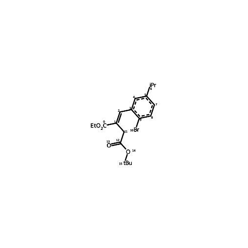 CCOC(=O)/C(=C/c1cc(C(C)C)ccc1Br)CC(=O)OC(C)(C)C